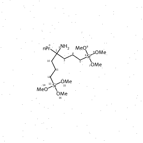 CCCC(N)(CCC[Si](OC)(OC)OC)CCC[Si](OC)(OC)OC